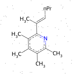 CCC/C=C(\C)c1nc(C)c(C)c(C)c1C